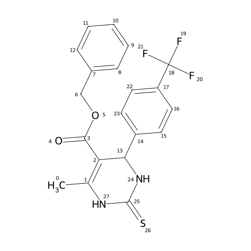 CC1=C(C(=O)OCc2ccccc2)C(c2ccc(C(F)(F)F)cc2)NC(=S)N1